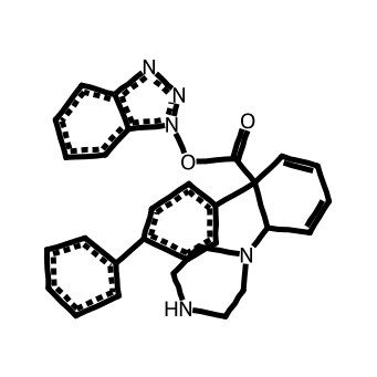 O=C(On1nnc2ccccc21)C1(c2ccc(-c3ccccc3)cc2)C=CC=CC1N1CCNCC1